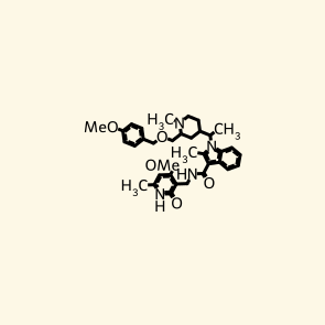 COc1ccc(COCC2CC(C(C)n3c(C)c(C(=O)NCc4c(OC)cc(C)[nH]c4=O)c4ccccc43)CCN2C)cc1